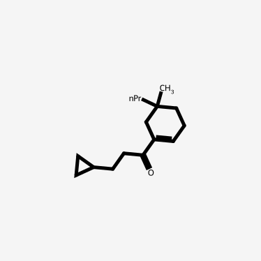 CCCC1(C)CCC=C(C(=O)CCC2CC2)C1